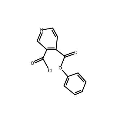 O=C(Cl)c1cnccc1C(=O)Oc1ccccc1